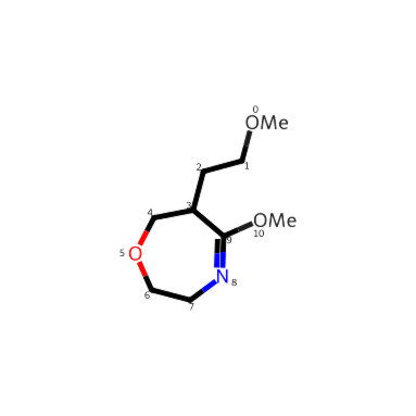 COCCC1COCCN=C1OC